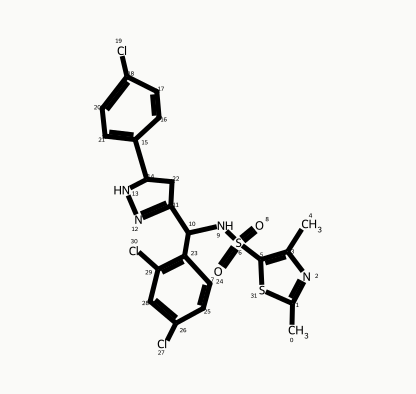 Cc1nc(C)c(S(=O)(=O)NC(C2=NNC(c3ccc(Cl)cc3)C2)c2ccc(Cl)cc2Cl)s1